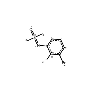 CS(C)(=O)=Nc1cccc(Br)c1F